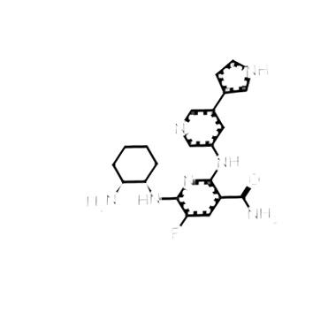 NC(=O)c1cc(F)c(N[C@@H]2CCCC[C@@H]2N)nc1Nc1cncc(-c2cc[nH]c2)c1